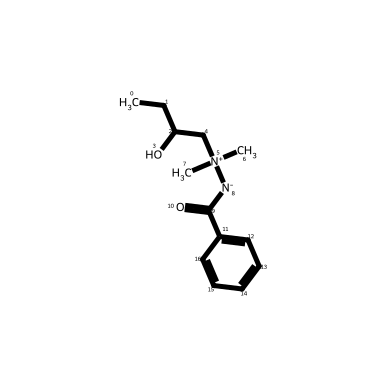 CCC(O)C[N+](C)(C)[N-]C(=O)c1ccccc1